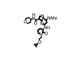 CNc1cc(Nc2cccn(CCOC3CC3)c2=O)nc2c(C(=O)NC3CCOCC3)cnn12